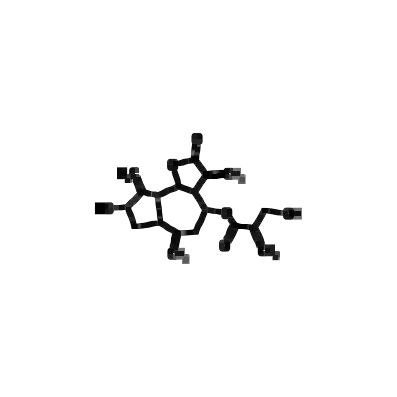 C=C(CO)C(=O)OC1CC(=C)C2CC(O)C(=C)C2C2OC(=O)C(=C)C12